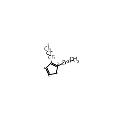 [CH3][Zr+3][C]1=CC=CC1.[Cl-].[Cl-].[Cl-]